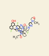 C#Cc1c(F)ccc2cc(O)cc(-c3ncc4c(NCC5(N(C)C(=O)C=C)CCCC5)nc(OC[C@]5(C)C[C@@H](F)CN5c5ccc(N6CCOC[C@@H]6C)cn5)nc4c3F)c12